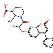 CC(Oc1ccc2c(-c3ccccc3Cl)cc(=O)oc2c1)C(=O)N1CCCC(C(=O)O)C1C